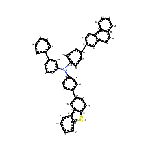 c1ccc(-c2cccc(N(c3ccc(-c4ccc5c(ccc6ccccc65)c4)cc3)c3ccc(-c4ccc5sc6ccccc6c5c4)cc3)c2)cc1